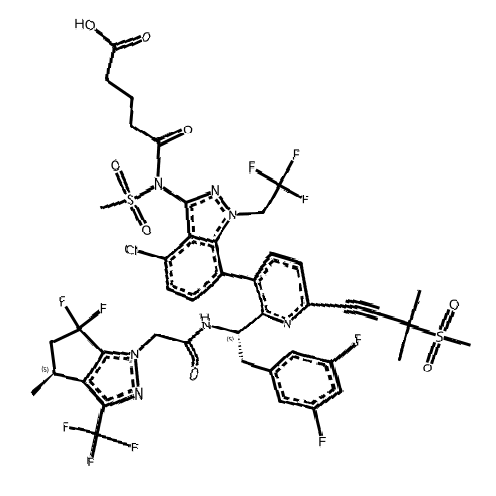 C[C@H]1CC(F)(F)c2c1c(C(F)(F)F)nn2CC(=O)N[C@@H](Cc1cc(F)cc(F)c1)c1nc(C#CC(C)(C)S(C)(=O)=O)ccc1-c1ccc(Cl)c2c(N(C(=O)CCCC(=O)O)S(C)(=O)=O)nn(CC(F)(F)F)c12